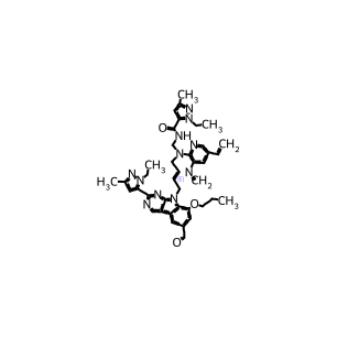 C=Cc1cnc(N(C/C=C/Cn2c3nc(-c4cc(C)nn4CC)ncc3c3cc(C=O)cc(OCCC)c32)CNC(=O)c2cc(C)nn2CC)c(N=C)c1